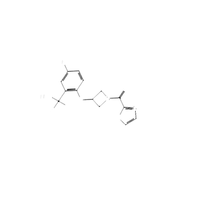 CC(C)(C)c1cc(F)ccc1OC1CN(C(=O)c2nccs2)C1